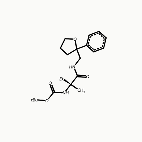 CC[C@@](C)(NC(=O)OC(C)(C)C)C(=O)NCC1(c2ccccc2)CCCO1